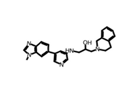 Cn1cnc2ccc(-c3cncc(NCC(O)CN4CCc5ccccc5C4)c3)cc21